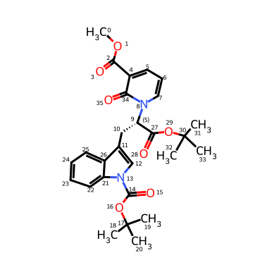 COC(=O)c1cccn([C@@H](Cc2cn(C(=O)OC(C)(C)C)c3ccccc23)C(=O)OC(C)(C)C)c1=O